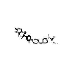 CC(C)(C)OC(=O)NN1CCC(CN2CCN(c3ccc(C(=O)NC4CCC(=O)NC4=O)cc3F)CC2)CC1